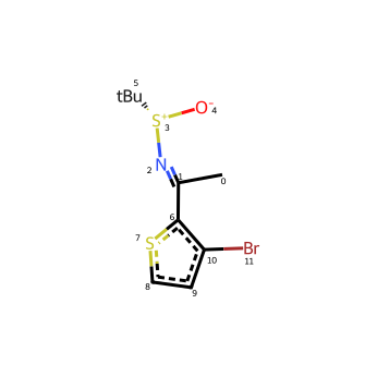 CC(=N[S@@+]([O-])C(C)(C)C)c1sccc1Br